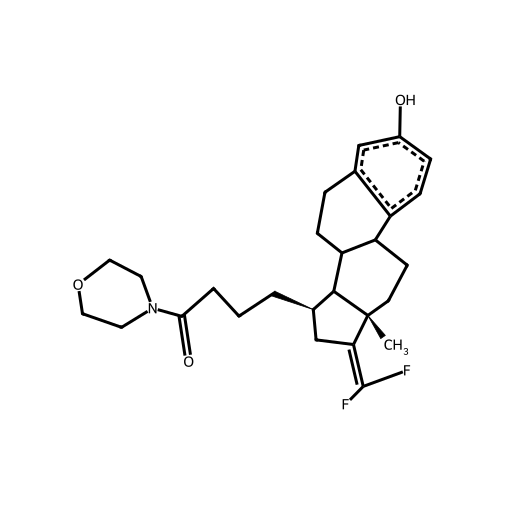 C[C@]12CCC3c4ccc(O)cc4CCC3C1[C@H](CCCC(=O)N1CCOCC1)CC2=C(F)F